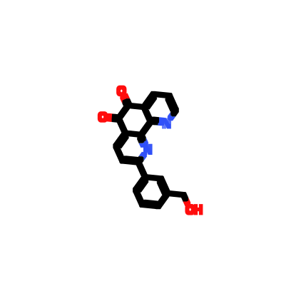 O=C1C(=O)c2ccc(-c3cccc(CO)c3)nc2-c2ncccc21